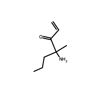 C=CC(=O)C(C)(N)CCC